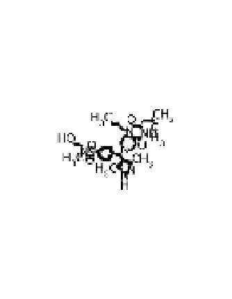 CCCCN1C(=O)[C@H](CC(C)C)NC(=O)C12CCN(C(c1ccc(S(=O)(=O)N(C)CCO)cc1)c1c(C)n[nH]c1C)CC2